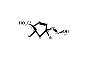 CC1=C(C(=O)O)C=CC(Br)(N=NO)C1